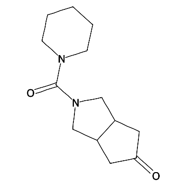 O=C1CC2CN(C(=O)N3CCCCC3)CC2C1